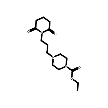 CCOC(=O)N1CCN(CCCN2C(=O)CCCC2=O)CC1